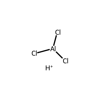 [Cl][Al]([Cl])[Cl].[H+]